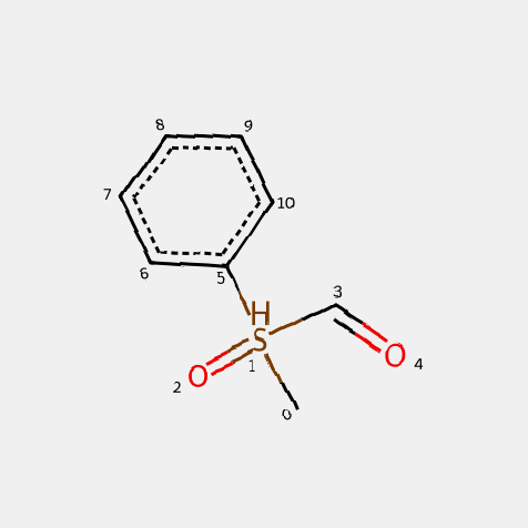 C[SH](=O)(C=O)c1ccccc1